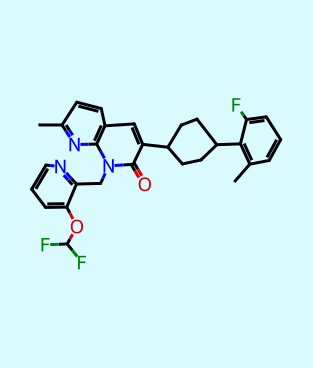 Cc1ccc2cc(C3CCC(c4c(C)cccc4F)CC3)c(=O)n(Cc3ncccc3OC(F)F)c2n1